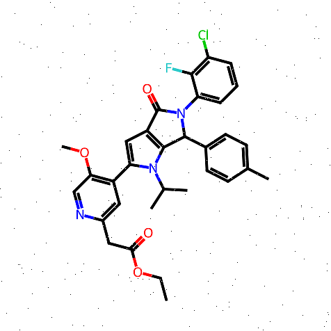 CCOC(=O)Cc1cc(-c2cc3c(n2C(C)C)C(c2ccc(C)cc2)N(c2cccc(Cl)c2F)C3=O)c(OC)cn1